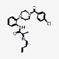 C=C/C=C\N=C(/C)C(=O)Nc1ccccc1N1CCN(C(=O)c2ccc(Cl)cc2)CC1